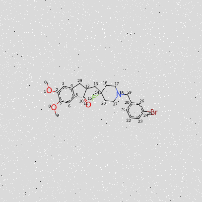 COc1cc2c(cc1OC)C(=O)C(CC1(F)CCN(Cc3cccc(Br)c3)CC1)C2